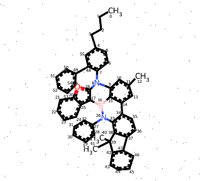 CCCCc1ccc(N2c3cc(C)cc4c3B(c3c2oc2ccccc32)N(c2ccccc2)c2c-4ccc3c2C(C)(C)c2ccccc2-3)c(-c2ccccc2)c1